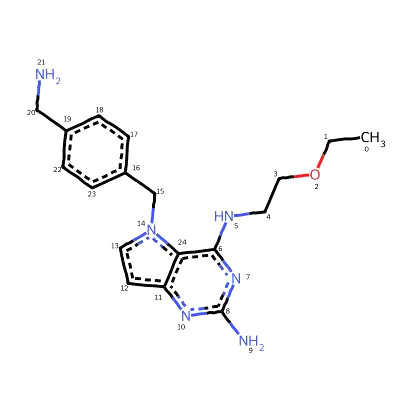 CCOCCNc1nc(N)nc2ccn(Cc3ccc(CN)cc3)c12